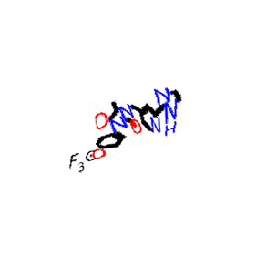 CC1C(=O)N(c2ccc(OC(F)(F)F)cc2)C(=O)N1Cc1ccnc(C2=NCCN2)c1